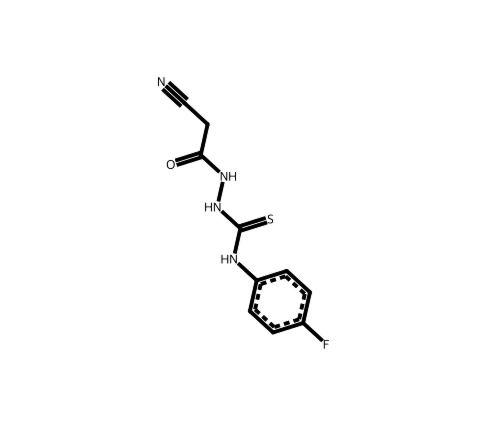 N#CCC(=O)NNC(=S)Nc1ccc(F)cc1